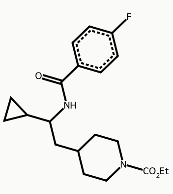 CCOC(=O)N1CCC(CC(NC(=O)c2ccc(F)cc2)C2CC2)CC1